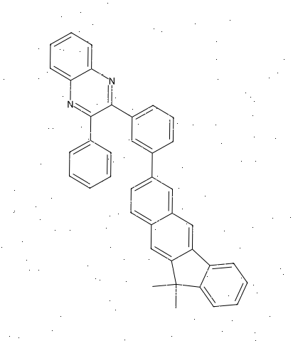 CC1(C)c2ccccc2-c2cc3cc(-c4cccc(-c5nc6ccccc6nc5-c5ccccc5)c4)ccc3cc21